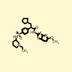 CCN1CCCC(NS(=O)(=O)c2ccc(C(CC3CCCC3)C(=O)Nc3nc4ccc(OC)nc4s3)cc2)C1